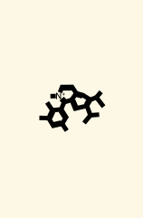 Cc1cc(C)c(C)c(-c2c3cc(C(C)C)c(C(C)C)cc3cc[n+]2C)c1